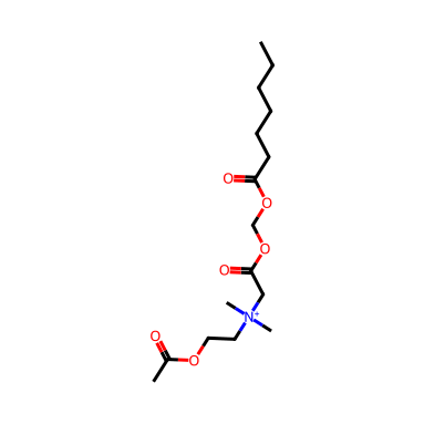 CCCCCCC(=O)OCOC(=O)C[N+](C)(C)CCOC(C)=O